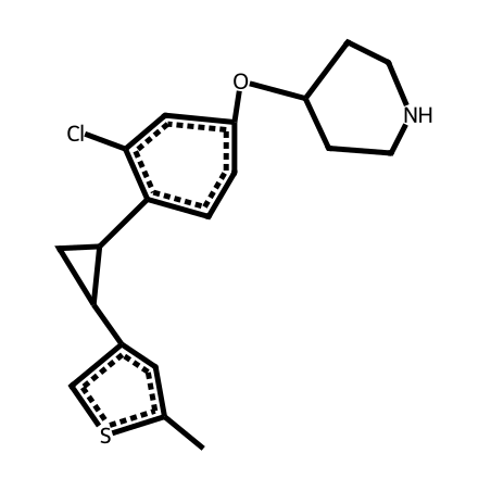 Cc1cc(C2CC2c2ccc(OC3CCNCC3)cc2Cl)cs1